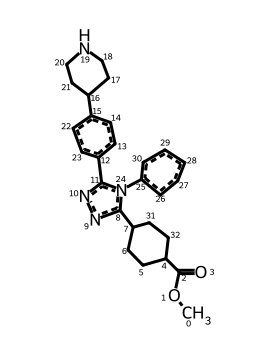 COC(=O)C1CCC(c2nnc(-c3ccc(C4CCNCC4)cc3)n2-c2ccccc2)CC1